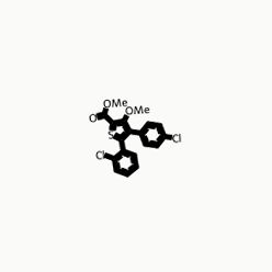 COC(=O)c1sc(-c2ccccc2Cl)c(-c2ccc(Cl)cc2)c1OC